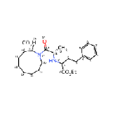 CCOC(=O)C(CCc1ccccc1)N[C@@H](C)C(=O)N1CCCCCCC[C@H]1C(=O)O